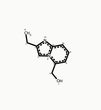 CCc1cn2c(CO)cccc2n1